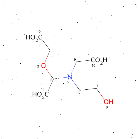 O=C(O)COC(C(=O)O)N(CCO)CC(=O)O